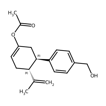 C=C(C)[C@@H]1CC=C(OC(C)=O)C[C@H]1c1ccc(CO)cc1